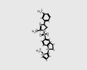 Cc1cccc(C2CN(S(=O)(=O)c3ccc4c(c3)CCN4c3cccn3C)C(N)=N2)c1